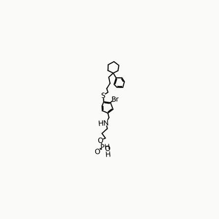 O=[PH](O)OCCCNCc1ccc(SCCCCC2(c3ccccc3)CCCCC2)c(Br)c1